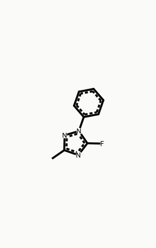 Cc1nc(F)n(-c2ccccc2)n1